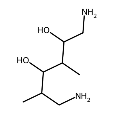 CC(CN)C(O)C(C)C(O)CN